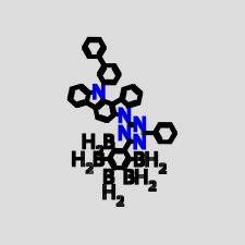 Bc1c(B)c(B)c(-c2nc(C3=CCCC=C3)nc(-n3c4ccccc4c4c3ccc3c5ccccc5n(-c5cccc(-c6ccccc6)c5)c34)n2)c(B)c1B